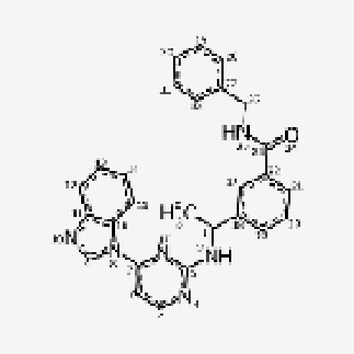 C[C@H](Nc1nccc(-n2cnc3ccccc32)n1)c1cccc(C(=O)NCc2ccccc2)c1